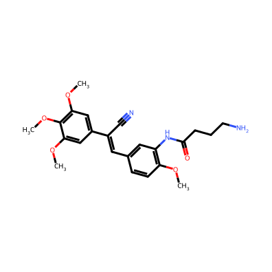 COc1ccc(C=C(C#N)c2cc(OC)c(OC)c(OC)c2)cc1NC(=O)CCCN